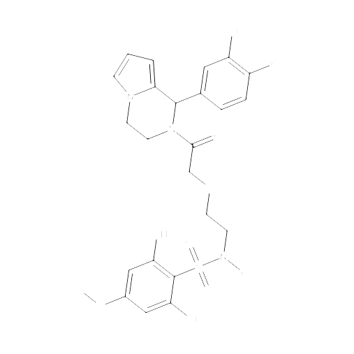 COc1cc(C)c(S(=O)(=O)N(C)CCOCC(=O)N2CCn3cccc3C2c2ccc(C)c(C)c2)c(C)c1